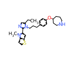 CCc1cnc(-c2cc3sccc3n2C)n1CCCc1ccc(OC2CCCNCC2)cc1